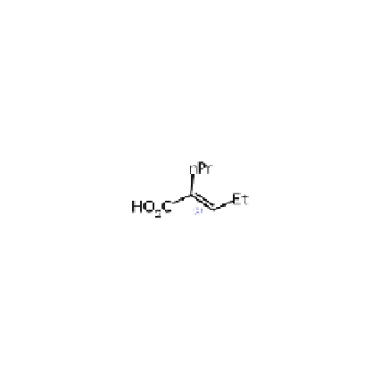 CC/C=C(\CCC)C(=O)O